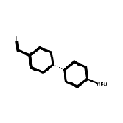 CCCC[C@H]1CC[C@H](C2CCC(CI)CC2)CC1